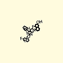 Oc1cc(F)c2c(N3CCc4c(nc(OC[C@@]56CCCN5C[C@H](F)C6)nc4N4CC5CCC(C4)N5)C3)cccc2c1